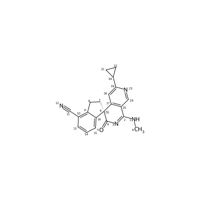 CNC1=NC(=O)[C@]2(CCc3c(C#N)cccc32)c2cc(C3CC3)ncc21